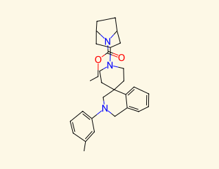 CCOC(=O)N1C2CCC1CC(N1CCC3(CC1)CN(c1cccc(C)c1)Cc1ccccc13)C2